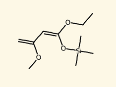 C=C(/C=C(/OCC)O[Si](C)(C)C)OC